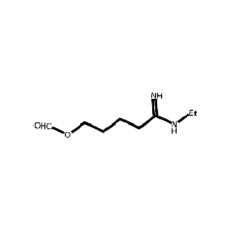 CCNC(=N)CCCCO[C]=O